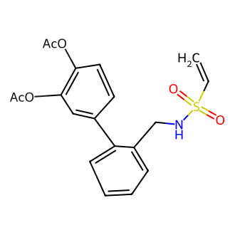 C=CS(=O)(=O)NCc1ccccc1-c1ccc(OC(C)=O)c(OC(C)=O)c1